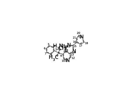 CC(C)(c1ccccc1)c1cncc2nc(-c3ccncc3)nc(N)c12